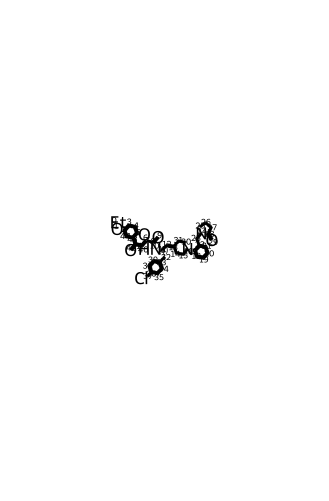 CCOc1ccc2oc(C(=O)N[C@H](C=C3CCN(c4ccccc4CN4CCCC4=O)CC3)Cc3ccc(Cl)cc3)cc(=O)c2c1